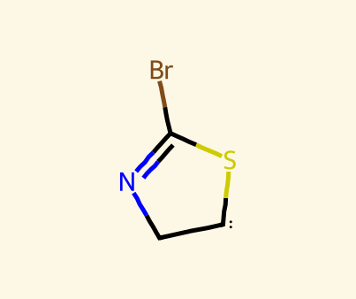 BrC1=NC[C]S1